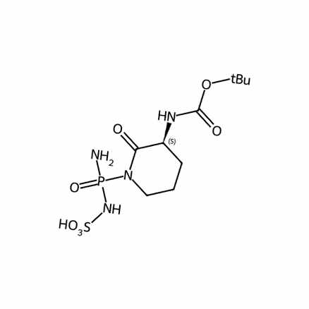 CC(C)(C)OC(=O)N[C@H]1CCCN(P(N)(=O)NS(=O)(=O)O)C1=O